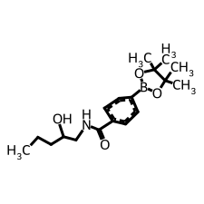 CCCC(O)CNC(=O)c1ccc(B2OC(C)(C)C(C)(C)O2)cc1